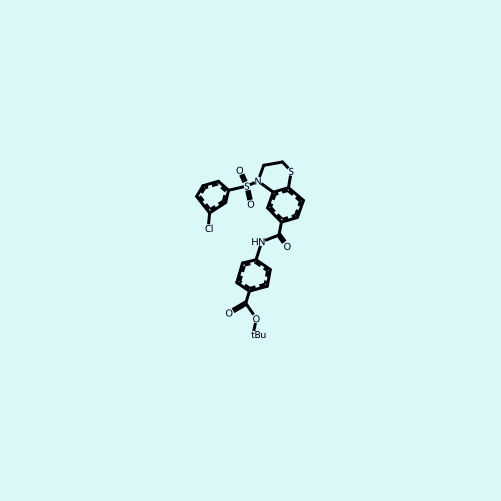 CC(C)(C)OC(=O)c1ccc(NC(=O)c2ccc3c(c2)N(S(=O)(=O)c2cccc(Cl)c2)CCS3)cc1